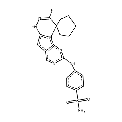 NS(=O)(=O)c1ccc(Nc2ncc3cc4n(c3n2)C2(CCCCC2)C(F)=NN4)cc1